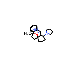 CC1(N)CCC2(CCCC(N3CCCC3)C2Cc2ccccc2)O1